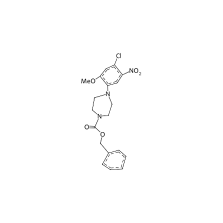 COc1cc(Cl)c([N+](=O)[O-])cc1N1CCN(C(=O)OCc2ccccc2)CC1